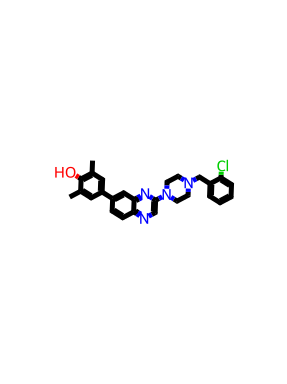 Cc1cc(-c2ccc3ncc(N4CCN(Cc5ccccc5Cl)CC4)nc3c2)cc(C)c1O